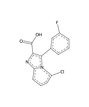 O=C(O)c1nc2cccc(Cl)n2c1-c1cccc(F)c1